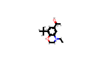 CCN1CCOc2c1cc(C(C)=O)cc2C(C)(C)C